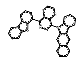 c1ccc2cc3c(cc2c1)c1ccccc1n3-c1nnc(-c2cccc3c2sc2ccccc23)c2nccnc12